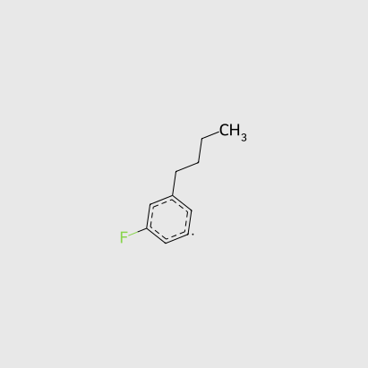 CCCCc1c[c]cc(F)c1